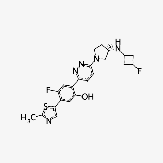 Cc1ncc(-c2cc(O)c(-c3ccc(N4CC[C@H](NC5CC(F)C5)C4)nn3)cc2F)s1